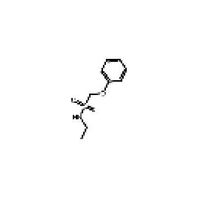 CCNS(=O)(=O)COc1ccccc1